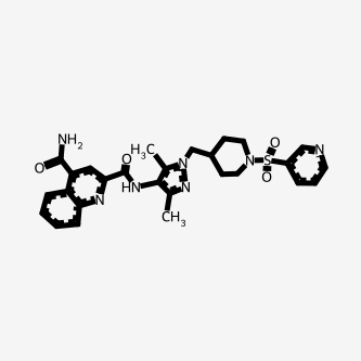 Cc1nn(CC2CCN(S(=O)(=O)c3cccnc3)CC2)c(C)c1NC(=O)c1cc(C(N)=O)c2ccccc2n1